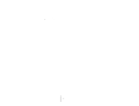 O=C(O)C1CCCC(Oc2ccc(Br)cc2)C1